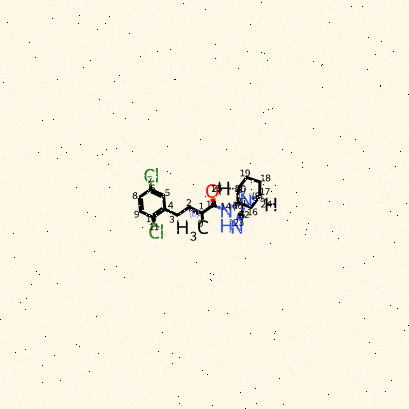 C/C(=C\Cc1cc(Cl)ccc1Cl)C(=O)N[C@@H]1C[C@@H]2CC[C@H]1N2C#N